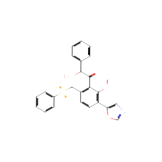 COc1c(-c2cnco2)ccc(CS(=O)(=O)c2ccccc2)c1C(=O)C(O)c1ccccc1